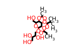 CCC(=O)OC1C(OC[C@@H](O)C(O)CO)OC(CO)C(OC(C)=O)C1OC(=O)C(C)C